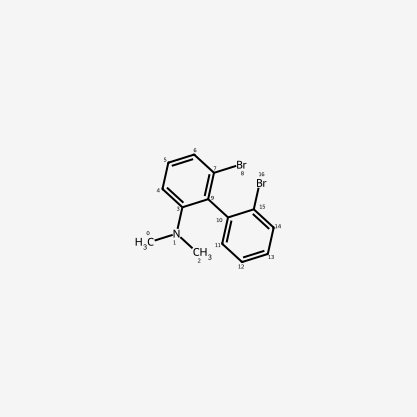 CN(C)c1cccc(Br)c1-c1ccccc1Br